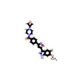 COc1cc2[nH]nc(-c3cc(-c4ccc(C(=O)N5CCN(C6COC6)CC5)cc4)no3)c2cc1F